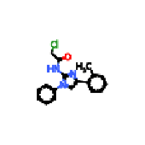 Cc1ccccc1-c1cn(-c2ccccc2)c(NC(=O)CCl)n1